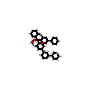 c1ccc(-c2ccc3c(c2)Sc2ccccc2C32c3ccccc3Sc3cc(-c4cccc(-c5cccnc5)c4)ccc32)cc1